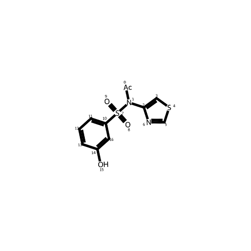 CC(=O)N(c1cscn1)S(=O)(=O)c1cccc(O)c1